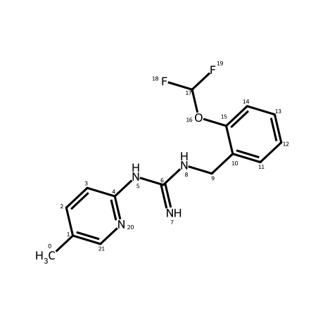 Cc1ccc(NC(=N)NCc2ccccc2OC(F)F)nc1